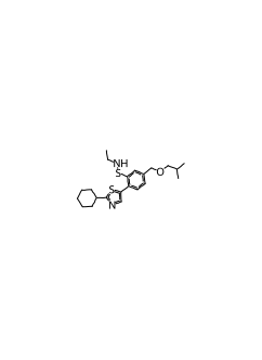 CCNSc1cc(COCC(C)C)ccc1-c1cnc(C2CCCCC2)s1